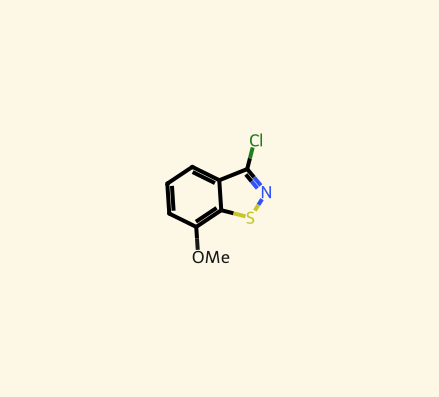 COc1cccc2c(Cl)nsc12